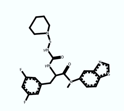 CN(C(=O)C(Cc1cc(F)cc(F)c1)NC(=O)NSN1CCCCC1)c1ccc2scnc2c1